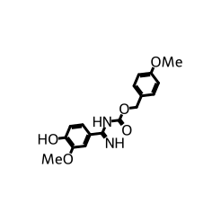 COc1ccc(COC(=O)NC(=N)c2ccc(O)c(OC)c2)cc1